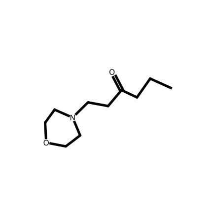 CCCC(=O)CCN1CCOCC1